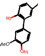 COc1cc(-c2cc(C)c[c]c2O)ccc1O